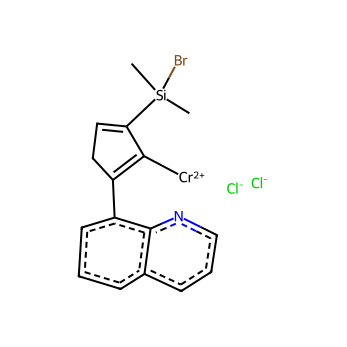 C[Si](C)(Br)C1=CCC(c2cccc3cccnc23)=[C]1[Cr+2].[Cl-].[Cl-]